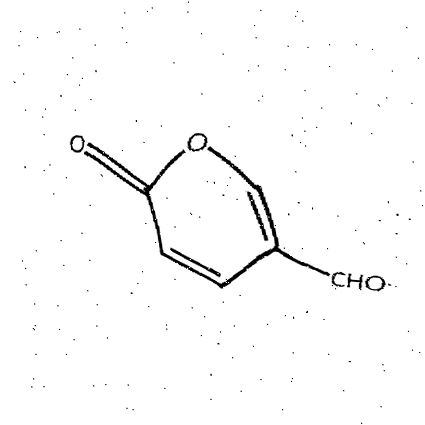 O=[C]c1ccc(=O)oc1